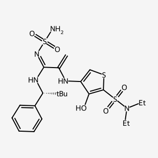 C=C(Nc1csc(S(=O)(=O)N(CC)CC)c1O)/C(=N\S(N)(=O)=O)N[C@@H](c1ccccc1)C(C)(C)C